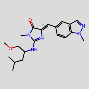 COCC(CC(C)C)NC1=N/C(=C\c2ccc3c(cnn3C)c2)C(=O)N1C